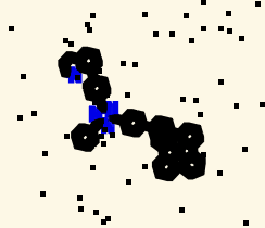 c1ccc(-c2nc(-c3ccc(-c4ccc(-c5cccc6c5C5(c7ccccc7-c7ccccc75)c5ccccc5-6)cc4)cc3)nc(-c3ccc(-c4cccc5cccnc45)cc3)n2)cc1